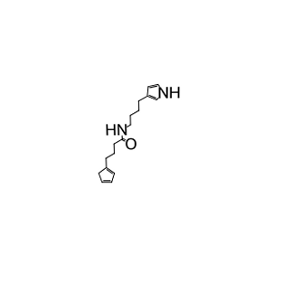 O=C(CCCC1=CC=CC1)NCCCCc1cc[nH]c1